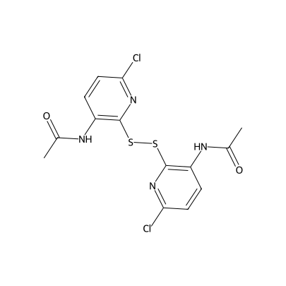 CC(=O)Nc1ccc(Cl)nc1SSc1nc(Cl)ccc1NC(C)=O